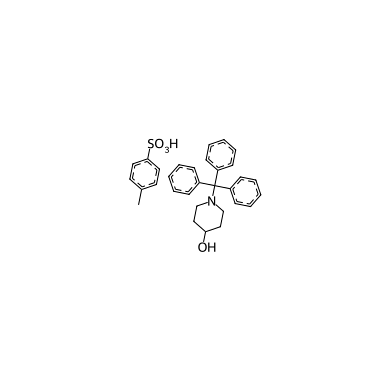 Cc1ccc(S(=O)(=O)O)cc1.OC1CCN(C(c2ccccc2)(c2ccccc2)c2ccccc2)CC1